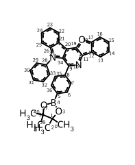 CC1(C)OB(c2ccc(-c3nc4c5ccccc5oc4c4c5ccccc5n(-c5ccccc5)c34)cc2)OC1(C)C